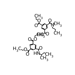 CCCN(C)C(=O)c1cc(C(=O)O)cc(C(=O)OCC)c1.CCOC(=O)c1cc(C(=O)NC(C)CC)cc(C(=O)OCC)c1